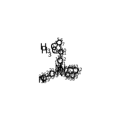 CC1(C)c2ccccc2-c2ccc(-c3ccc(-c4nc(-c5ccc(-c6ccncc6)cc5)nc(-c5ccc6ccc7cccc8ccc5c6c78)n4)cc3)cc21